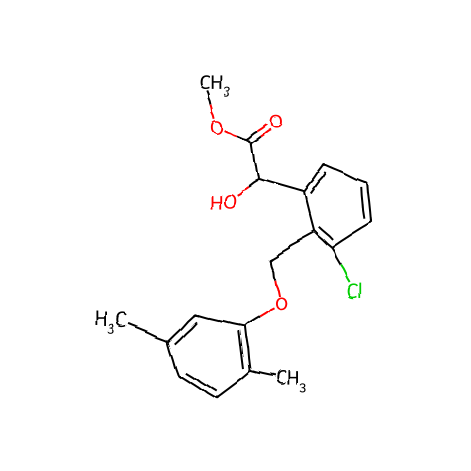 COC(=O)C(O)c1cccc(Cl)c1COc1cc(C)ccc1C